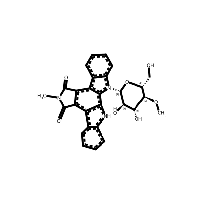 CO[C@H]1[C@H](O)[C@@H](O)[C@H](n2c3ccccc3c3c4c(c5c6ccccc6[nH]c5c32)C(=O)N(C)C4=O)O[C@@H]1CO